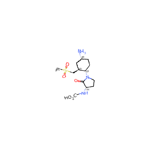 CC(C)S(=O)(=O)C[C@H]1C[C@H](N)CC[C@@H]1N1CC[C@H](NC(=O)O)C1=O